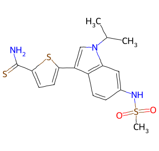 CC(C)n1cc(-c2ccc(C(N)=S)s2)c2ccc(NS(C)(=O)=O)cc21